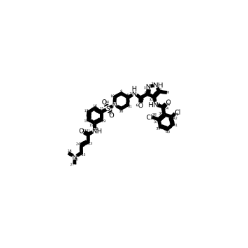 Cc1[nH]nc(C(=O)NC2CCN(S(=O)(=O)c3cccc(NC(=O)C=CCN(C)C)c3)CC2)c1NC(=O)c1c(Cl)cccc1Cl